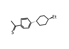 CC[C@H]1CC[C@H](c2ccc(C(C)=S)cc2)CC1